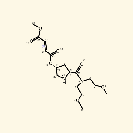 COCCN(CCOC)C(=O)[C@@H]1C[C@@H](OC(=O)/C=C/C(=O)OC)CN1